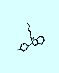 CCC=CCn1c(-c2ccc(C)cc2)cc2ccccc21